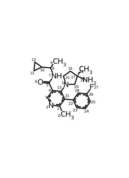 Cc1ncc(C(=O)NC(C)C2CC2)c(N2CC[C@](C)(N)C2)c1-c1cccc(F)c1